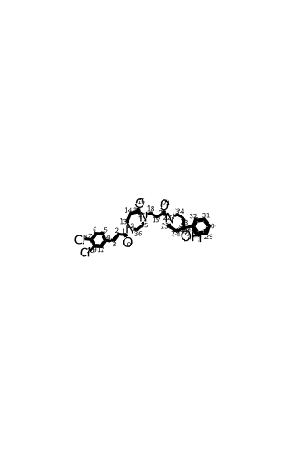 O=C(/C=C/c1ccc(Cl)c(Cl)c1)N1CCC(=O)N(CCC(=O)N2CCC(O)(c3ccccc3)CC2)CC1